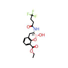 CCOC(=O)c1cccc2c1OB(O)[C@@H](NC(=O)CCC(F)(F)F)C2